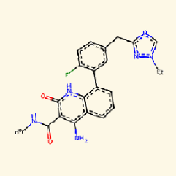 CCCNC(=O)c1c(N)c2cccc(-c3cc(Cc4ncn(CC)n4)ccc3F)c2[nH]c1=O